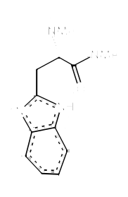 CNC(=O)[C@H](Cc1nc2ccccc2[nH]1)NC